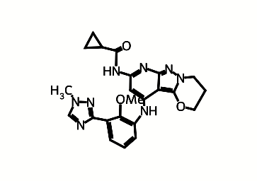 COc1c(Nc2cc(NC(=O)C3CC3)nc3nn4c(c23)OCCC4)cccc1-c1ncn(C)n1